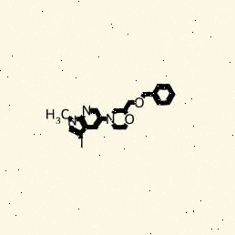 Cn1cc(I)c2cc(N3CCOC(COCc4ccccc4)C3)cnc21